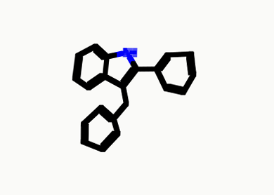 c1ccc(Cc2c(-c3ccccc3)[nH]c3ccccc23)cc1